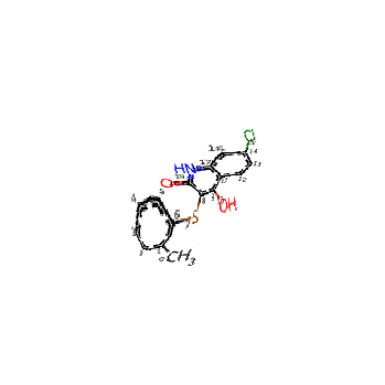 Cc1ccccc1Sc1c(O)c2ccc(Cl)cc2[nH]c1=O